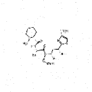 CCCCCON(C(=O)[C@@H](NC(=O)[C@H]1CCCCN1C)[C@@H](C)CC)[C@H](C[C@@H](O)c1nc(C(=O)OCC)cs1)C(C)C